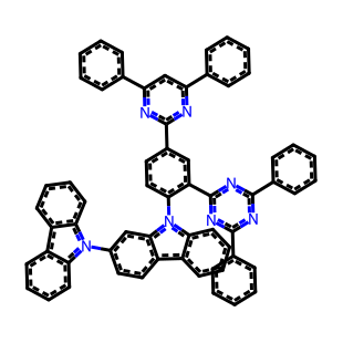 c1ccc(-c2cc(-c3ccccc3)nc(-c3ccc(-n4c5ccccc5c5ccc(-n6c7ccccc7c7ccccc76)cc54)c(-c4nc(-c5ccccc5)nc(-c5ccccc5)n4)c3)n2)cc1